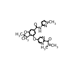 CN(C)C(=O)c1ncc(Oc2cc(C(=O)Nc3ccn(C)n3)cc3c2CC(C)(C)O3)cn1